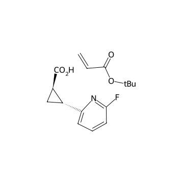 C=CC(=O)OC(C)(C)C.O=C(O)[C@@H]1C[C@H]1c1cccc(F)n1